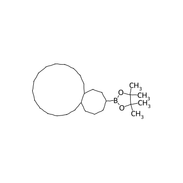 CC1(C)OB(C2CCCC3CCCCCCCCCCCCCCCC3CC2)OC1(C)C